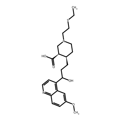 CCSCCN1CC[C@@H](CCC(O)c2ccnc3ccc(OC)cc23)[C@@H](C(=O)O)C1